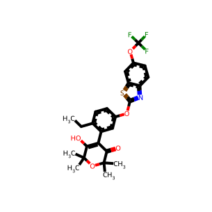 CCc1ccc(Oc2nc3ccc(OC(F)(F)F)cc3s2)cc1C1=C(O)C(C)(C)OC(C)(C)C1=O